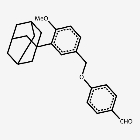 COc1ccc(COc2ccc(C=O)cc2)cc1C12CC3CC(CC(C3)C1)C2